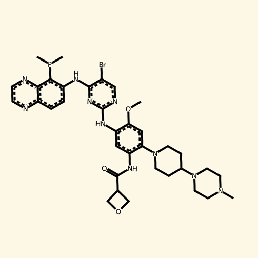 COc1cc(N2CCC(N3CCN(C)CC3)CC2)c(NC(=O)C2COC2)cc1Nc1ncc(Br)c(Nc2ccc3nccnc3c2P(C)C)n1